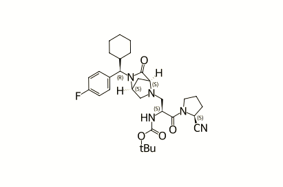 CC(C)(C)OC(=O)N[C@@H](CN1C[C@@H]2C[C@H]1C(=O)N2[C@@H](c1ccc(F)cc1)C1CCCCC1)C(=O)N1CCC[C@H]1C#N